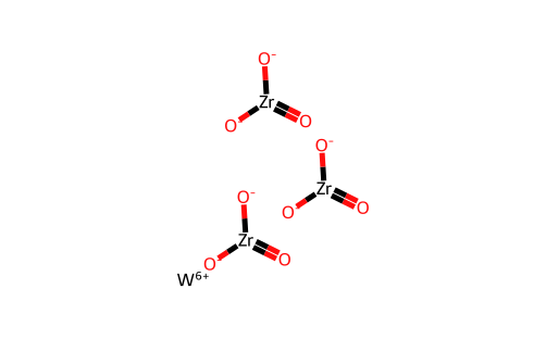 [O]=[Zr]([O-])[O-].[O]=[Zr]([O-])[O-].[O]=[Zr]([O-])[O-].[W+6]